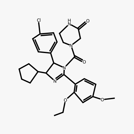 CCOc1cc(OC)ccc1C1=NC(C2CCCC2)C(c2ccc(Cl)cc2)N1C(=O)N1CCNC(=O)C1